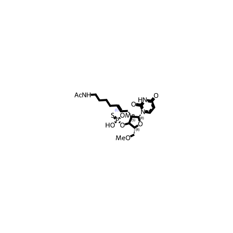 COC[C@H]1O[C@@H](n2ccc(=O)[nH]c2=O)[C@@H](C/C=C/CCCCNC(C)=O)C1OP(O)(=S)OC